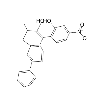 CC1Cc2cc(-c3ccccc3)ccc2C(c2ccc([N+](=O)[O-])cc2O)=C1O